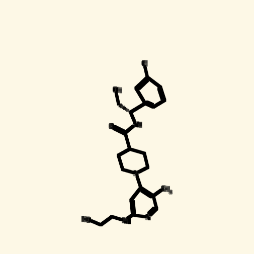 Cc1cnc(NCCO)cc1N1CCC(C(=O)N[C@H](CO)c2cccc(Cl)c2)CC1